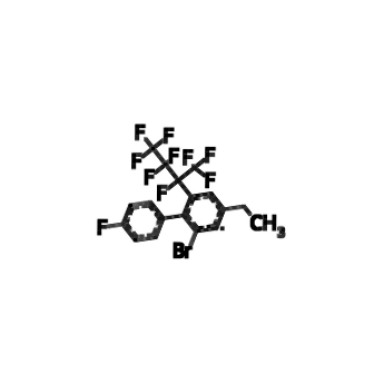 CCc1[c]c(Br)c(-c2ccc(F)cc2)c(C(F)(C(F)(F)F)C(F)(F)C(F)(F)F)c1